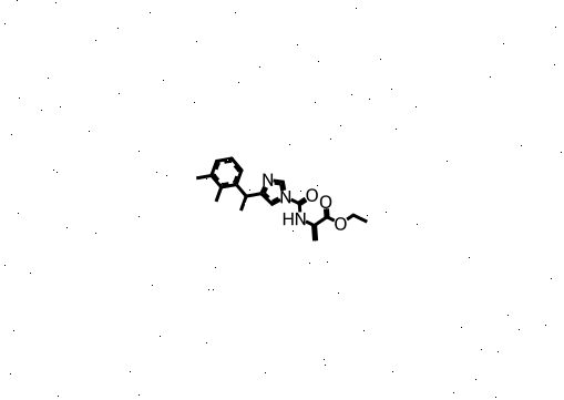 C=C(NC(=O)n1cnc(C(C)c2cccc(C)c2C)c1)C(=O)OCC